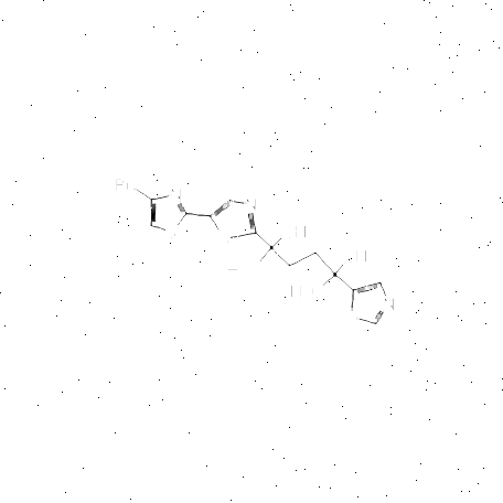 CC(C)(C)c1csc(-c2cnc(C(C)(C)CCC(C)(C)c3cnco3)s2)n1